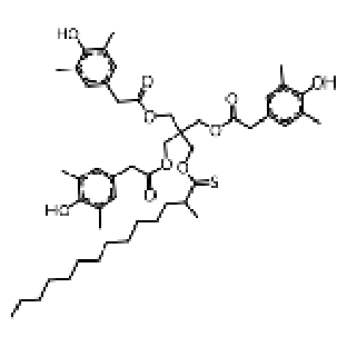 CCCCCCCCCCCCC(C)C(=S)OCC(COC(=O)Cc1cc(C)c(O)c(C)c1)(COC(=O)Cc1cc(C)c(O)c(C)c1)COC(=O)Cc1cc(C)c(O)c(C)c1